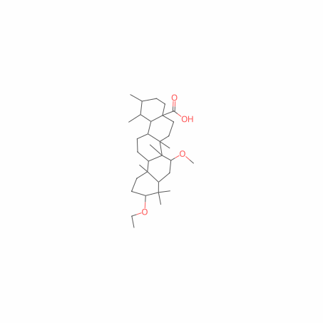 CCOC1CCC2(C)C(CC(OC)C3(C)C2CCC2C4C(C)C(C)CCC4(C(=O)O)CCC23C)C1(C)C